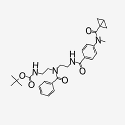 CN(C(=O)C12CC1C2)c1ccc(C(=O)NCCN(CCNC(=O)OC(C)(C)C)C(=O)c2ccccc2)cc1